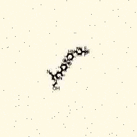 N#Cc1cn(CCO)c2ncc(-c3ccc(S(=O)(=O)N4CCC(Nc5ccc(C(F)(F)F)cn5)CC4)cc3)cc12